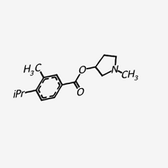 Cc1cc(C(=O)OC2CCN(C)C2)ccc1C(C)C